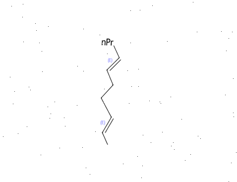 C/C=C/CC/C=C/CCC